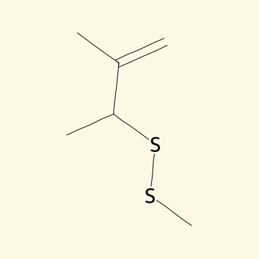 C=C(C)C(C)SSC